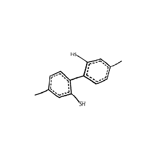 Cc1ccc(-c2ccc(C)cc2S)c(S)c1